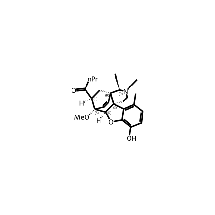 CCCC(=O)[C@H]1C[C@@]23C=C[C@@]1(OC)[C@@H]1Oc4c(O)ccc(C)c4[C@@]12CCN(C)[C@@H]3C